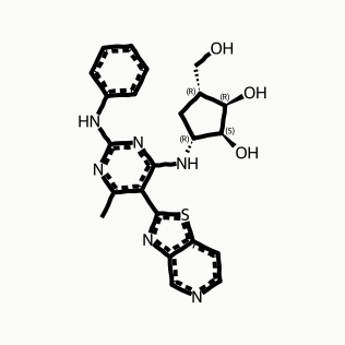 Cc1nc(Nc2ccccc2)nc(N[C@@H]2C[C@H](CO)[C@@H](O)[C@H]2O)c1-c1nc2cnccc2s1